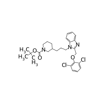 CC(C)(C)OC(=O)N1CCCC(CCCn2c(COc3c(Cl)cccc3Cl)nc3ccccc32)C1